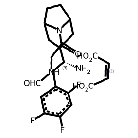 N[C@H](Cc1cc(F)c(F)cc1F)C1CC2CCC(C1)N2C(=O)CNC=O.O=C(O)/C=C\C(=O)O